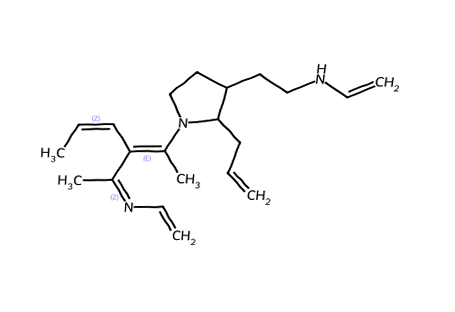 C=CCC1C(CCNC=C)CCN1/C(C)=C(\C=C/C)C(/C)=N\C=C